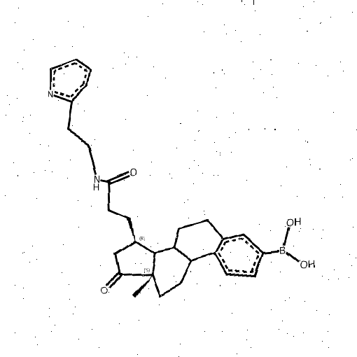 C[C@]12CCC3c4ccc(B(O)O)cc4CCC3C1[C@H](CCC(=O)NCCc1ccccn1)CC2=O